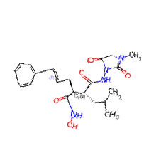 CC(C)C[C@@H](C(=O)NN1C(=O)CN(C)C1=O)[C@H](C/C=C/c1ccccc1)C(=O)NO